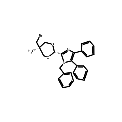 C[C@]1(CBr)CO[C@H](c2nc(-c3ccccc3)c(-c3ccccc3)n2Cc2ccccc2)OC1